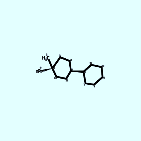 CCC[C@]1(C)CC[C@@H](C2CCCCC2)CC1